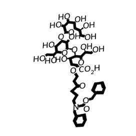 O=C(CCCN(Cc1ccccc1)C(=O)OCc1ccccc1)CCO[C@]1(C(=O)O)C[C@@H](O)[C@@H](O[C@H]2OC([C@@H](O)CO)[C@@H](O)[C@H](O[C@H]3O[C@@H]([C@@H](O)CO)[C@@H](O)C(O)C3O)C2O)C([C@H](O)CO)O1